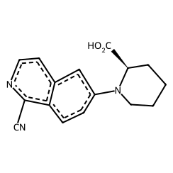 N#Cc1nccc2cc(N3CCCC[C@@H]3C(=O)O)ccc12